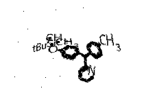 Cc1ccc(C(c2ccc(O[Si](C)(C)C(C)(C)C)cc2)c2ccccn2)cc1